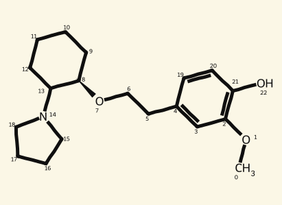 COc1cc(CCO[C@@H]2CCCCC2N2CCCC2)ccc1O